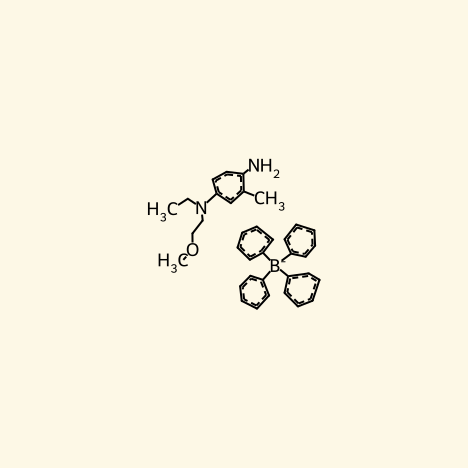 CCN(CCOC)c1ccc(N)c(C)c1.c1ccc([B-](c2ccccc2)(c2ccccc2)c2ccccc2)cc1